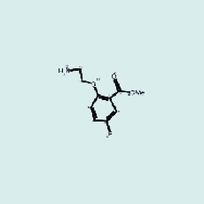 COC(=O)c1cc(F)ccc1OCCN